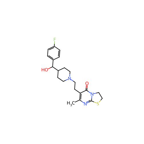 Cc1nc2n(c(=O)c1CCN1CCC(C(O)c3ccc(F)cc3)CC1)CCS2